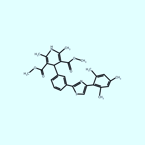 COC(=O)C1=C(C)NC(C)=C(C(=O)OC)C1c1cccc(-c2nc(-c3c(C)cc(C)cc3C)cs2)c1